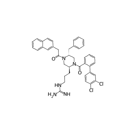 N=C(N)NCCC[C@H]1CN(C(=O)Cc2ccc3ccccc3c2)[C@H](Cc2ccccc2)CN1C(=O)c1ccccc1-c1ccc(Cl)c(Cl)c1